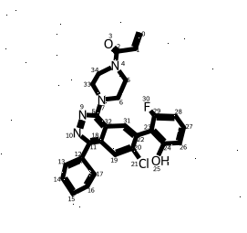 C=CC(=O)N1CCN(c2nnc(-c3ccccc3)c3cc(Cl)c(-c4c(O)cccc4F)cc23)CC1